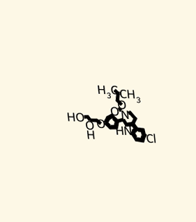 CC(C)COC(=O)N1CCc2c([nH]c3ccc(Cl)cc23)C1c1ccc(OCC(O)CO)cc1